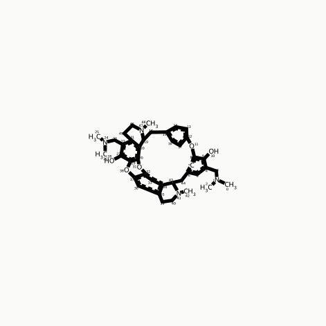 CN(C)Cc1cc2cc(c1O)Oc1ccc(cc1)CC1c3c(c(CN(C)C)c(O)c4c3Oc3cc5c(cc3O4)CCN(C)C5C2)CCN1C